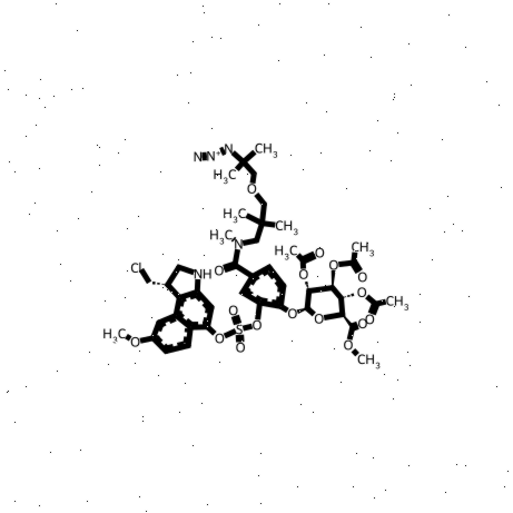 COC(=O)[C@H]1O[C@@H](Oc2ccc(C(=O)N(C)CC(C)(C)COCC(C)(C)N=[N+]=[N-])cc2OS(=O)(=O)Oc2cc3c(c4cc(OC)ccc24)[C@H](CCl)CN3)[C@H](OC(C)=O)[C@@H](OC(C)=O)[C@@H]1OC(C)=O